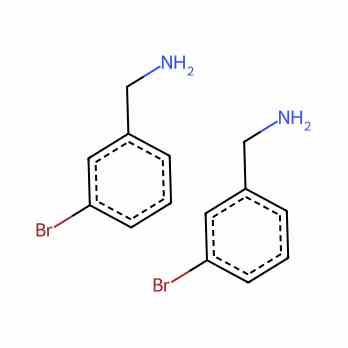 NCc1cccc(Br)c1.NCc1cccc(Br)c1